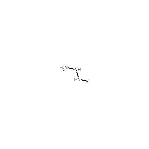 NNNI